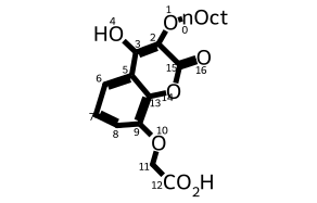 CCCCCCCCOc1c(O)c2cccc(OCC(=O)O)c2oc1=O